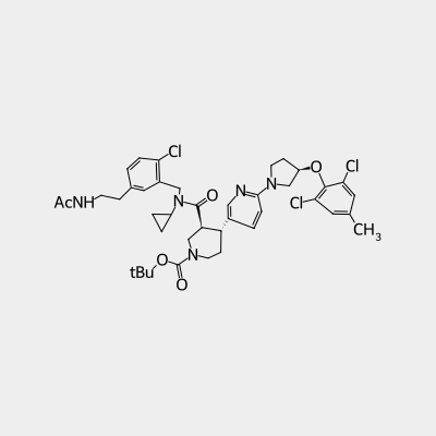 CC(=O)NCCc1ccc(Cl)c(CN(C(=O)[C@@H]2CN(C(=O)OC(C)(C)C)CC[C@H]2c2ccc(N3CC[C@@H](Oc4c(Cl)cc(C)cc4Cl)C3)nc2)C2CC2)c1